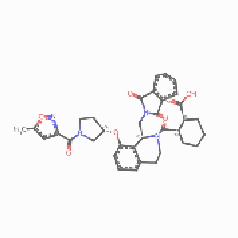 Cc1cc(C(=O)N2CC[C@H](Oc3cccc4c3[C@@H](CN3C(=O)c5ccccc5C3=O)N(C(=O)[C@@H]3CCCC[C@@H]3C(=O)O)CC4)C2)no1